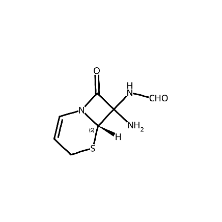 NC1(NC=O)C(=O)N2C=CCS[C@H]21